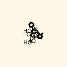 Cc1ccccc1Cn1nc(C2CCCCC2)c(O)c(C(=O)NCC(=O)O)c1=O